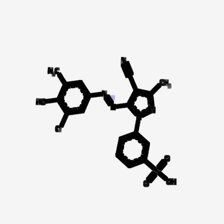 Cc1cc(/N=N/c2c(C#N)c(C)nn2-c2cccc(S(=O)(=O)O)c2)cc(Cl)c1O